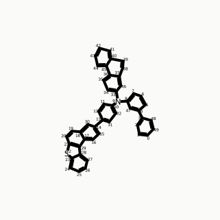 c1ccc(-c2cccc(N(c3ccc(-c4ccc5c(ccc6sc7ccccc7c65)c4)cc3)c3ccc4c(ccc5ccccc54)c3)c2)cc1